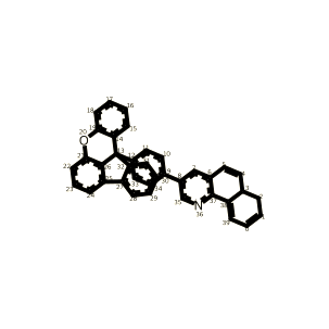 C1=CCC2C=Cc3cc(-c4ccc(C56c7ccccc7Oc7cccc(c75)-c5ccccc56)cc4)cnc3C2=C1